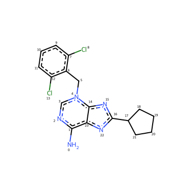 Nc1ncn(Cc2c(Cl)cccc2Cl)c2nc(C3CCCC3)nc1-2